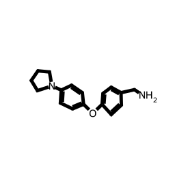 NCc1ccc(Oc2ccc(N3CCCC3)cc2)cc1